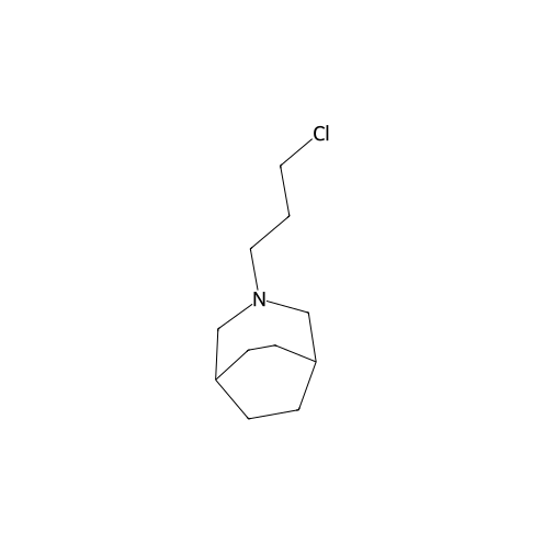 ClCCCN1CC2CCC(CC2)C1